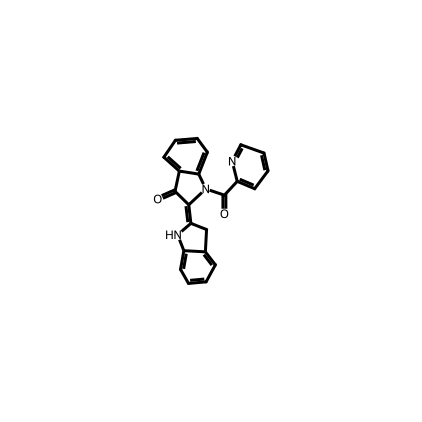 O=C1/C(=C2/Cc3ccccc3N2)N(C(=O)c2ccccn2)c2ccccc21